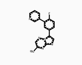 CC(C)(C)c1cnn2c(-c3ccc(F)c(-c4cccnc4)c3)cnc2n1